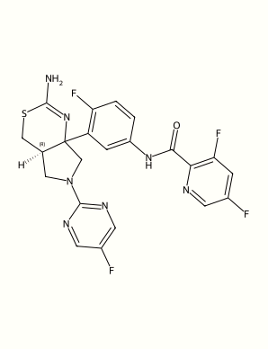 NC1=NC2(c3cc(NC(=O)c4ncc(F)cc4F)ccc3F)CN(c3ncc(F)cn3)C[C@H]2CS1